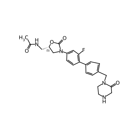 CC(=O)NC[C@H]1CN(c2ccc(-c3ccc(CN4CCNCC4=O)cc3)c(F)c2)C(=O)O1